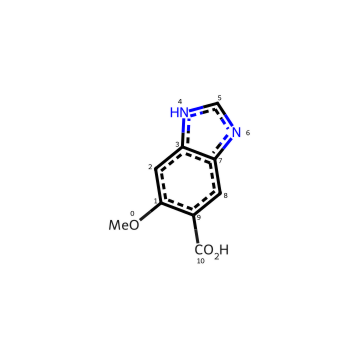 COc1cc2[nH]cnc2cc1C(=O)O